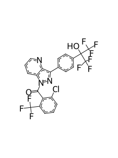 O=C(c1c(Cl)cccc1C(F)(F)F)n1nc(-c2ccc(C(O)(C(F)(F)F)C(F)(F)F)cc2)c2ncccc21